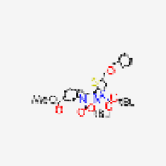 COC(=O)c1ccc2cc(-c3nn(C(=O)OC(C)(C)C)c4cc(COCc5ccccc5)sc34)n(C(=O)OC(C)(C)C)c2c1